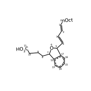 CCCCCCCCC=CC=CC1OC(CCCC(=O)O)c2ccccc21